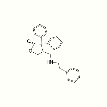 O=C1OCC(CNCCc2ccccc2)C1(c1ccccc1)c1ccccc1